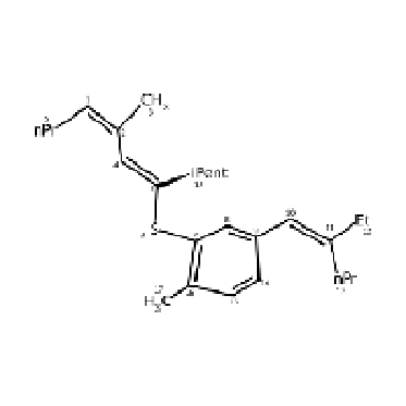 CCC/C=C(C)\C=C(\Sc1cc(C=C(CC)CCC)ccc1C)[C@H](C)CCC